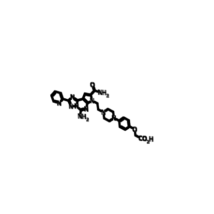 NC(=O)c1cc2c(nc(N)n3nc(-c4ccccn4)nc23)n1CCN1CCN(c2ccc(OCC(=O)O)cc2)CC1